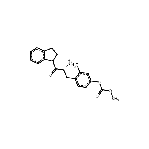 COC(=O)Oc1ccc(C[C@@H](N)C(=O)N2CCc3ccccc32)c(C)c1